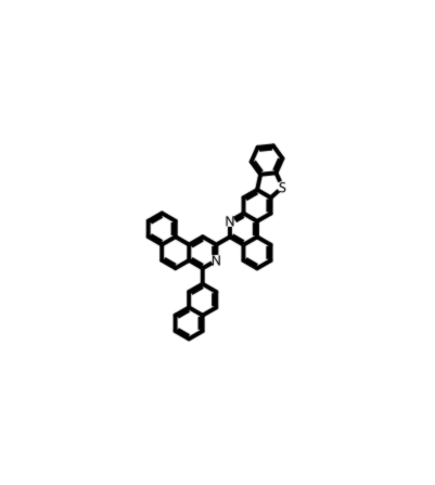 c1ccc2cc(-c3nc(-c4nc5cc6c(cc5c5ccccc45)sc4ccccc46)cc4c3ccc3ccccc34)ccc2c1